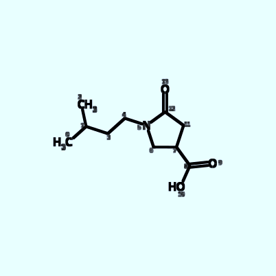 CC(C)CCN1CC(C(=O)O)CC1=O